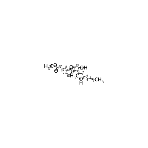 CC#CCCC(O)C=C(C)C1C(O)CC2Oc3c(CCCC(=O)OC)cccc3C21